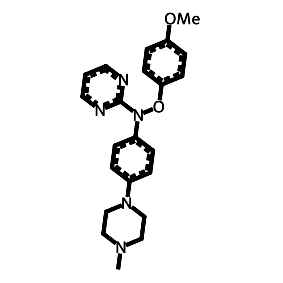 COc1ccc(ON(c2ccc(N3CCN(C)CC3)cc2)c2ncccn2)cc1